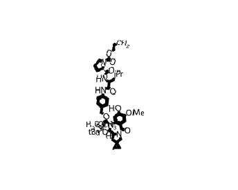 C=CCOC(=O)N1CCC[C@H]1C(=O)NC(CC(C)C)C(=O)Nc1ccc(COC(=O)N2c3cc(O)c(OC)cc3C(=O)N3CC4(CC4)C[C@H]3C2O[Si](C)(C)C(C)(C)C)cc1